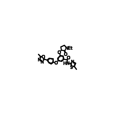 CCN1CCC(Oc2cc(Oc3ccc(-c4nnc(C)o4)cc3)cc(C(=O)Nc3ncc(C)s3)c2)C1=O